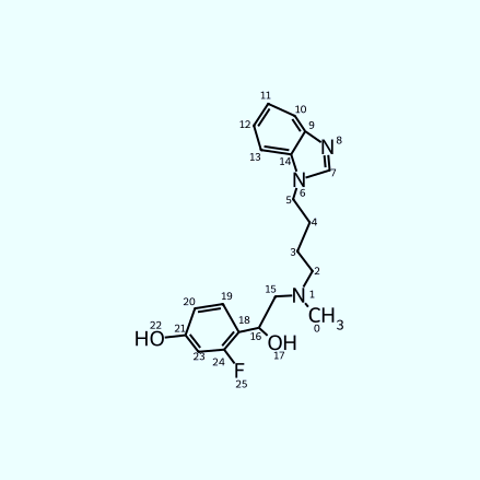 CN(CCCCn1cnc2ccccc21)CC(O)c1ccc(O)cc1F